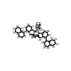 CC(C)C1=Cc2c(-c3cccc4ccccc34)cccc2[CH]1[Zr+2]1([CH]2C(C(C)C)=Cc3c(-c4cccc5ccccc45)cccc32)[CH2][CH2]1.[Cl-].[Cl-]